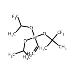 C=[CH][Sn]([O]C(C)C(F)(F)F)([O]C(C)C(F)(F)F)[O]C(C)(C)C(F)(F)F